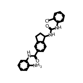 Nc1ccccc1NC(=O)c1ccc2c(c1)CCC2NC(=O)Nc1ccccc1Cl